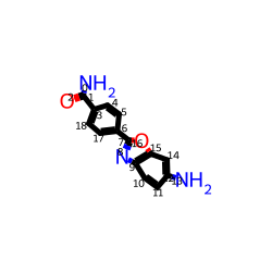 NC(=O)c1ccc(-c2nc3ccc(N)cc3o2)cc1